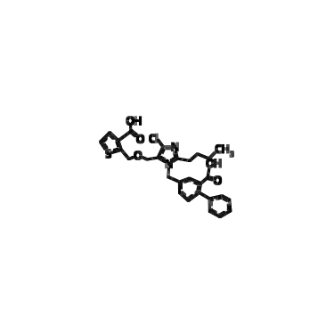 CCCCc1nc(Cl)c(COCc2sccc2C(=O)O)n1Cc1ccc(-c2ccccc2)c(C(=O)O)c1